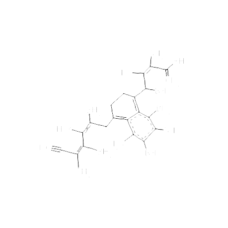 BC(=C)/C(B)=C(/B)C(B)C1=c2c(B)c(B)c(B)c(B)c2=C(C/C(B)=C(B)\C(B)=C(\B)C#C)CC1